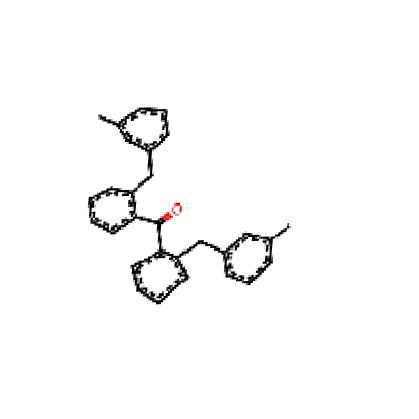 Cc1cccc(Cc2ccccc2C(=O)c2ccccc2Cc2cccc(C)c2)c1